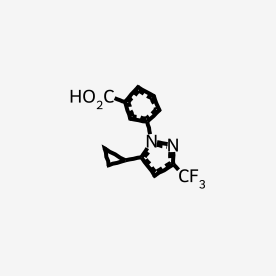 O=C(O)c1cccc(-n2nc(C(F)(F)F)cc2C2CC2)c1